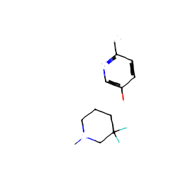 N#Cc1ccc(O[C@H]2CCN(C(=O)O)CC2(F)F)cn1